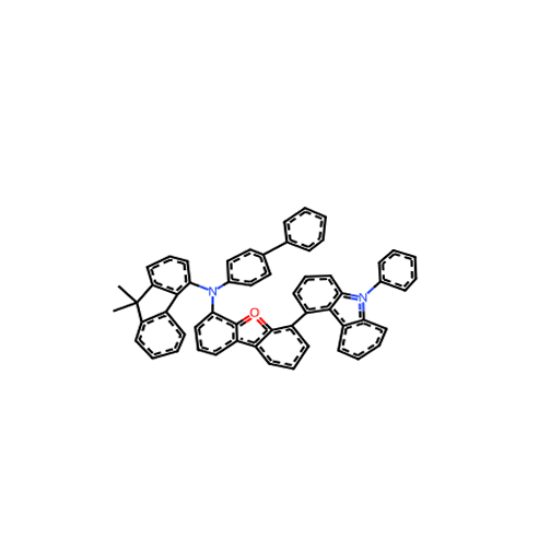 CC1(C)c2ccccc2-c2c(N(c3ccc(-c4ccccc4)cc3)c3cccc4c3oc3c(-c5cccc6c5c5ccccc5n6-c5ccccc5)cccc34)cccc21